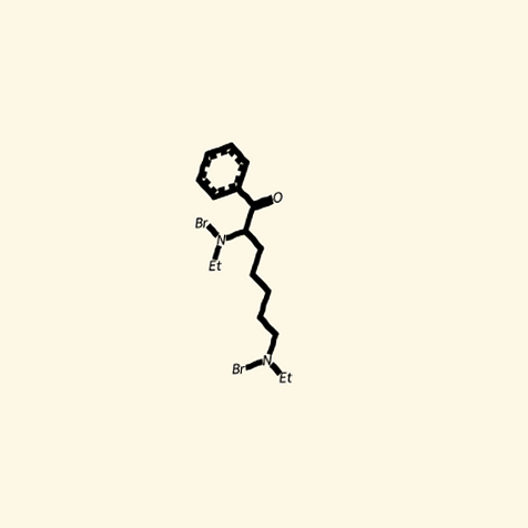 CCN(Br)CCCCCC(C(=O)c1ccccc1)N(Br)CC